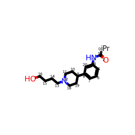 CC(C)C(=O)Nc1cccc(C2CCN(CCCCO)CC2)c1